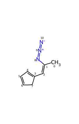 C/C(=C/C1=CC=CC1)N=[N+]=[N-]